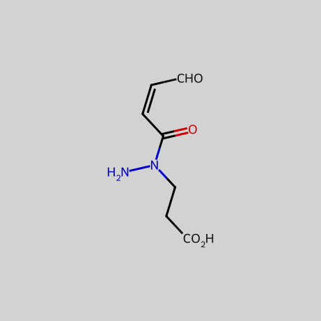 NN(CCC(=O)O)C(=O)/C=C\C=O